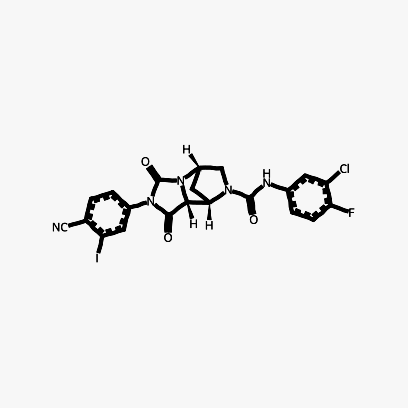 N#Cc1ccc(N2C(=O)[C@H]3[C@@H]4C[C@@H](CN4C(=O)Nc4ccc(F)c(Cl)c4)N3C2=O)cc1I